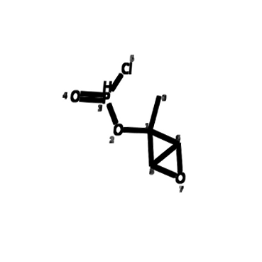 CC1(O[PH](=O)Cl)C2OC21